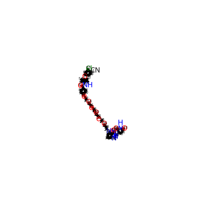 CC1(C)[C@H](NC(=O)c2ccc(OCCOCCOCCOCCOCCOCCCNc3cccc4nnn(C5CCC(=O)NC5=O)c(=O)c34)cc2)C(C)(C)[C@H]1Oc1ccc(C#N)c(Cl)c1